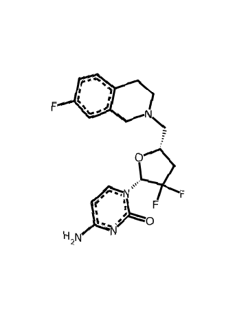 Nc1ccn([C@@H]2O[C@H](CN3CCc4ccc(F)cc4C3)CC2(F)F)c(=O)n1